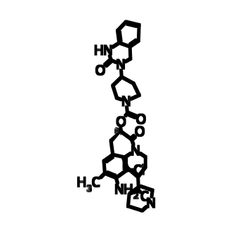 Cc1cc(C[C@@H](OC(=O)N2CCC(N3Cc4ccccc4NC3=O)CC2)C(=O)N2CCC(C3CN4CCC3CC4)CC2)cc(Cl)c1N